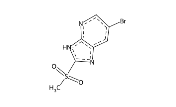 CS(=O)(=O)c1nc2cc(Br)cnc2[nH]1